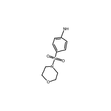 [NH]c1ccc(S(=O)(=O)N2CCOCC2)cc1